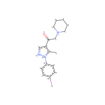 Cc1c(C(=O)CN2CCCCC2)cnn1-c1ccc(I)cc1